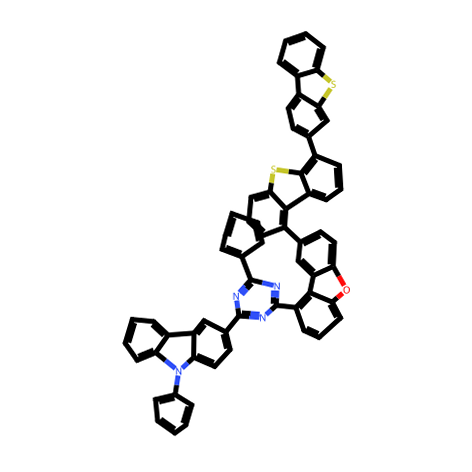 c1ccc(-c2nc(-c3ccc4c(c3)c3ccccc3n4-c3ccccc3)nc(-c3cccc4oc5ccc(-c6cccc7sc8c(-c9ccc%10c(c9)sc9ccccc9%10)cccc8c67)cc5c34)n2)cc1